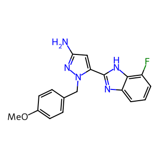 COc1ccc(Cn2nc(N)cc2-c2nc3cccc(F)c3[nH]2)cc1